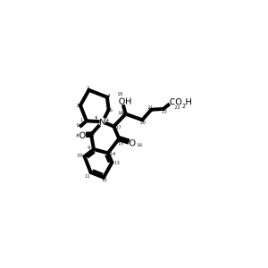 CC1CCCC[N+]12C(=O)c1ccccc1C(=O)C2C(O)CCCC(=O)O